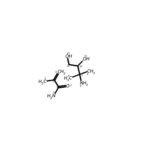 C=C(C)C(N)=O.CC(C)(N)C(O)CO